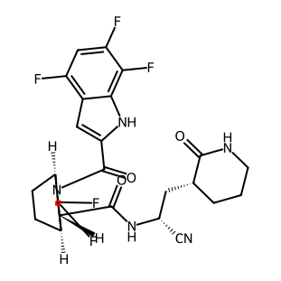 N#C[C@@H](C[C@H]1CCCNC1=O)NC(=O)[C@@H]1[C@H]2CC[C@H](CC2(F)F)N1C(=O)c1cc2c(F)cc(F)c(F)c2[nH]1